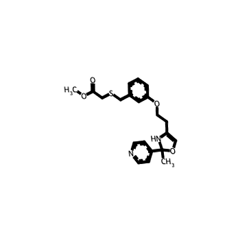 COC(=O)CSCc1cccc(OCCC2=COC(C)(c3ccncc3)N2)c1